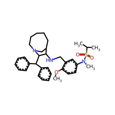 COc1ccc(N(C)S(=O)(=O)C(C)C)cc1CNC1C2CCCCCN(C2)C1C(c1ccccc1)c1ccccc1